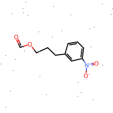 O=COCCCc1cccc([N+](=O)[O-])c1